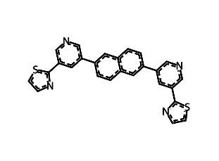 c1csc(-c2cncc(-c3ccc4cc(-c5cncc(-c6nccs6)c5)ccc4c3)c2)n1